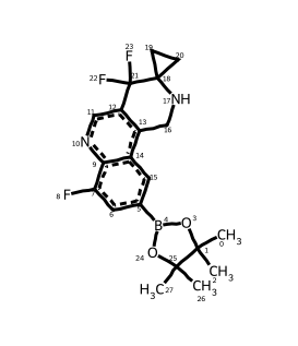 CC1(C)OB(c2cc(F)c3ncc4c(c3c2)CNC2(CC2)C4(F)F)OC1(C)C